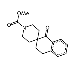 COC(=O)N1CCC2(CCc3ccccc3C2=O)CC1